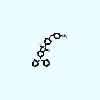 Nc1ccc(Sc2ccc(N3C(=O)c4ccc(P(c5ccccc5)c5ccccc5)cc4C3=O)cc2)cc1